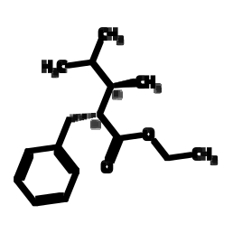 CCOC(=O)[C@H](Cc1ccccc1)[C@H](C)C(C)C